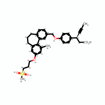 CC#C[C@@H](CC(=O)O)c1ccc(OCc2ccc3c(c2)-c2c(C)cc(OCCCS(C)(=O)=O)cc2CCC3)cc1